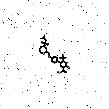 CC(C)CS(=O)(=O)N1CCCOC(COc2ccc(-c3cc(C(N)=O)c(=O)[nH]c3C(F)(F)F)cc2)C1